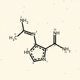 C/C(N)=N\c1[nH]cnc1C(=N)N